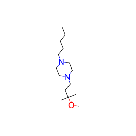 CCCCCN1CCN(CCC(C)(C)OC)CC1